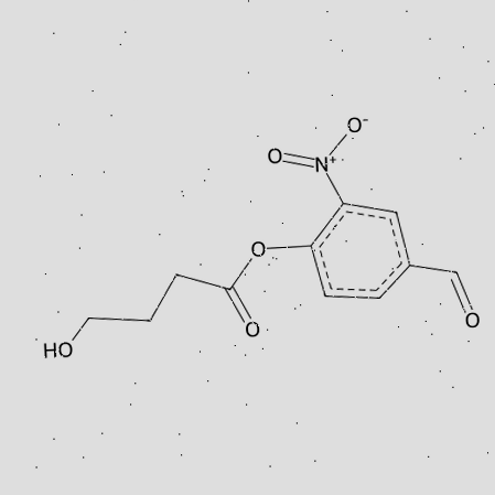 O=Cc1ccc(OC(=O)CCCO)c([N+](=O)[O-])c1